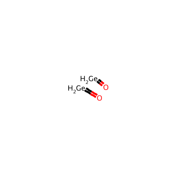 [O]=[GeH2].[O]=[GeH2]